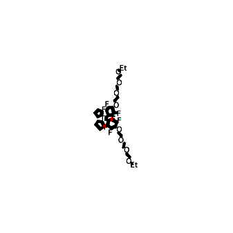 CCOCCOCCOCCOc1c(F)c(F)[c]([Ti]([C]2=CC=CC2)([C]2=CC=CC2)[c]2c(F)c(F)c(OCCOCCOCCOCC)c(F)c2F)c(F)c1F